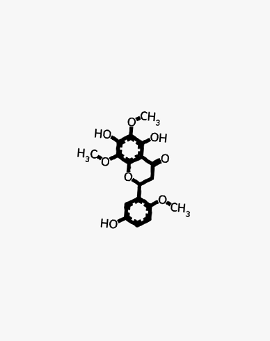 COc1ccc(O)cc1C1CC(=O)c2c(O)c(OC)c(O)c(OC)c2O1